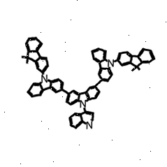 CC1(C)c2ccccc2-c2ccc(-n3c4ccccc4c4cc(-c5ccc6c(c5)c5cc(-c7ccc8c(c7)c7ccccc7n8-c7ccc8c(c7)C(C)(C)c7ccccc7-8)ccc5n6-c5ccnc6ccccc56)ccc43)cc21